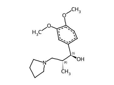 COc1ccc([C@@H](O)[C@H](C)CN2CCCC2)cc1OC